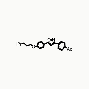 CC(=O)c1ccc(-c2cc(-c3ccc(OCCCC(C)C)cc3)on2)cc1